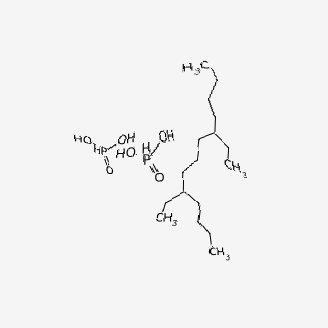 CCCCC(CC)CCCC(CC)CCCC.O=[PH](O)O.O=[PH](O)O